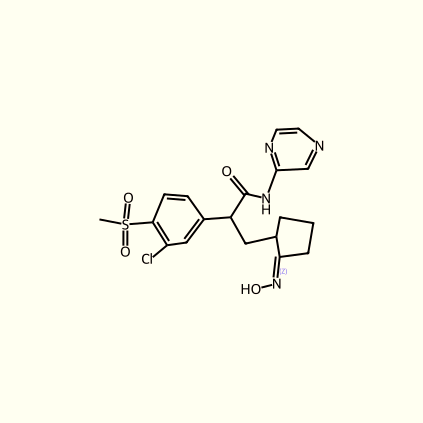 CS(=O)(=O)c1ccc(C(CC2CCC/C2=N/O)C(=O)Nc2cnccn2)cc1Cl